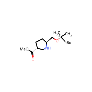 COC(=O)[C@@H]1CC[C@@H](CO[Si](C)(C)C(C)(C)C)NC1